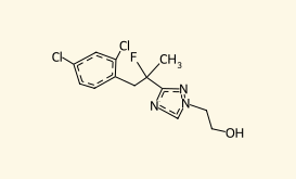 CC(F)(Cc1ccc(Cl)cc1Cl)c1ncn(CCO)n1